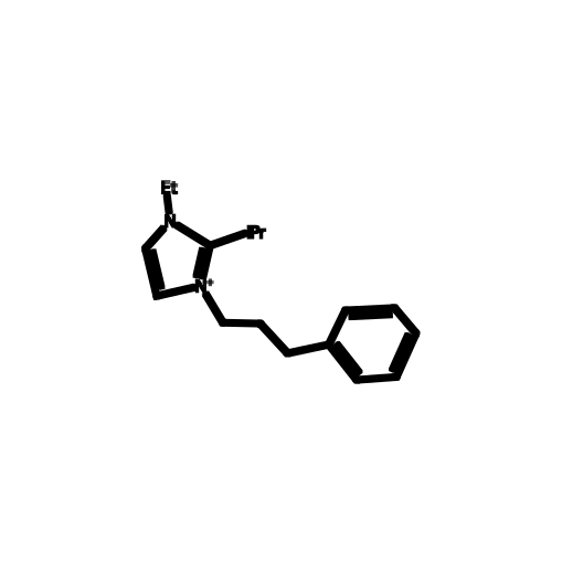 CCn1cc[n+](CCCc2ccccc2)c1C(C)C